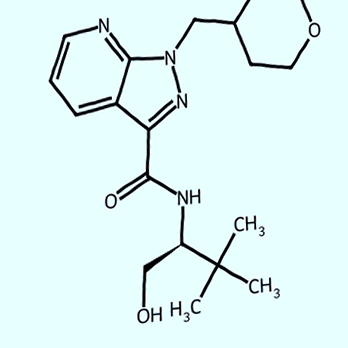 CC(C)(C)[C@@H](CO)NC(=O)c1nn(CC2CCOCC2)c2ncccc12